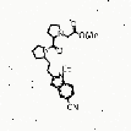 CCn1c(CCC2CCCN2C(=O)C2CCCN2CC(=O)OC)cc2cc(C#N)ccc21